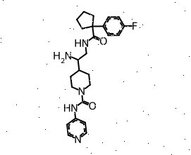 NC(CNC(=O)C1(c2ccc(F)cc2)CCCC1)C1CCN(C(=O)Nc2ccncc2)CC1